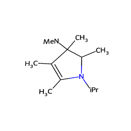 CNC1(C)C(C)=C(C)N(C(C)C)C1C